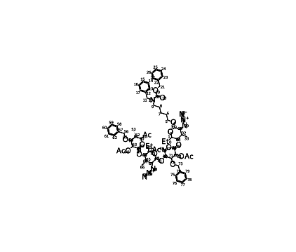 CCC1O[C@H](OCCCCCN(Cc2ccccc2)C(=O)OCc2ccccc2)C(N=[N+]=[N-])C(C)[C@@H]1O[C@@H]1O[C@@H](C(C)=O)[C@@H](O[C@H]2OC(CC)[C@@H](O[C@@H]3OC(C(C)=O)[C@@H](C)[C@@H](OCc4ccccc4)C3OC(C)=O)[C@H](C)C2N=[N+]=[N-])C(OCc2ccccc2)C1OC(C)=O